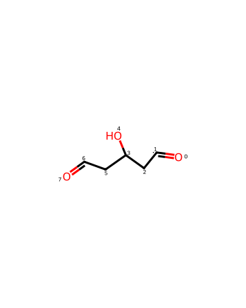 O=[C]CC(O)CC=O